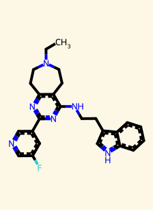 CCN1CCc2nc(-c3cncc(F)c3)nc(NCCc3c[nH]c4ccccc34)c2CC1